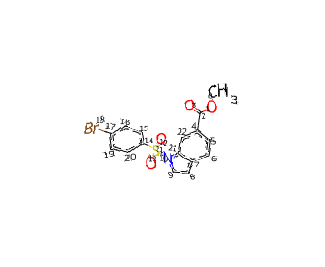 COC(=O)c1ccc2ccn(S(=O)(=O)c3ccc(Br)cc3)c2c1